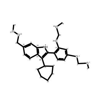 COCOc1ccc(-c2[nH]c3cc(COOC)ccc3c2C2CCCCC2)c(OCOC)c1